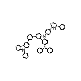 c1ccc(-c2ccnc(-c3ccc(-n4c5ccc(-c6cccc(-c7ccc8c(c7)c7ccccc7n8-c7ccccc7)c6)cc5c5cc(N(c6ccccc6)c6ccccc6)ccc54)cc3)n2)cc1